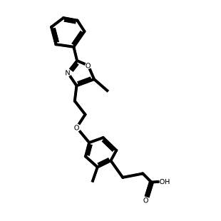 Cc1cc(OCCc2nc(-c3ccccc3)oc2C)ccc1CCC(=O)O